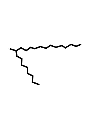 [CH2]C(CCCCCCCC)CCCCCCCCCCCCC